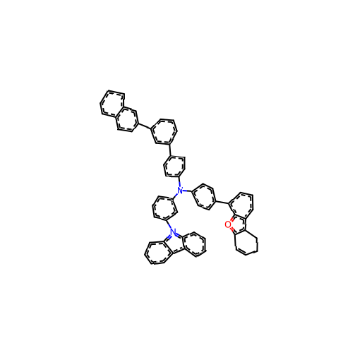 C1=Cc2oc3c(-c4ccc(N(c5ccc(-c6cccc(-c7ccc8ccccc8c7)c6)cc5)c5cccc(-n6c7ccccc7c7ccccc76)c5)cc4)cccc3c2CC1